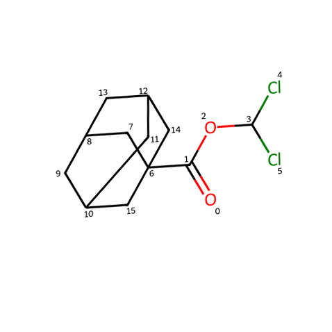 O=C(OC(Cl)Cl)C12CC3CC(CC(C3)C1)C2